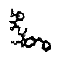 CC[C@H](CCC(=O)N(C)C1CCCC[C@H]1OC)n1c(N)nc2ccc(Oc3ccccc3)cc21